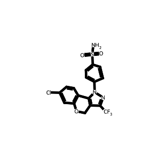 NS(=O)(=O)c1ccc(-n2nc(C(F)(F)F)c3c2-c2ccc(Cl)cc2OC3)cc1